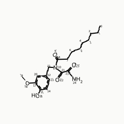 CCCCCCCCC(=O)N(Cc1ccc(O)c(OC)c1)C(=O)C(N)=O